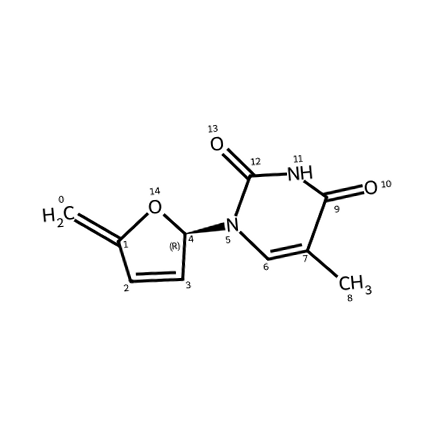 C=C1C=C[C@H](n2cc(C)c(=O)[nH]c2=O)O1